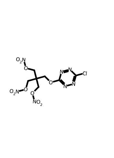 O=[N+]([O-])OCC(COc1nnc(Cl)nn1)(CO[N+](=O)[O-])CO[N+](=O)[O-]